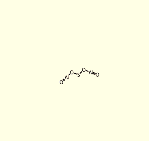 [O]=[Al][O]S[O][Al]=[O]